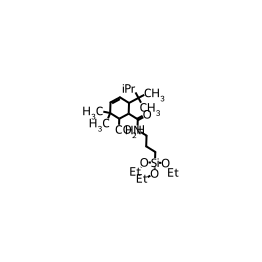 CCO[Si](CCCNC(=O)C1C(C(=O)O)C(C)(C)C=CC1C(C)(C)C(C)C)(OCC)OCC